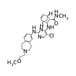 CNC(=O)[C@H]1[C@@H](Nc2nc(Nc3ccc4c(c3)CCN(CCOC)CC4)ncc2Cl)[C@@H]2C=C[C@H]1C2